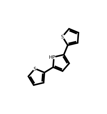 c1csc(-c2ccc(-c3cccs3)[pH]2)c1